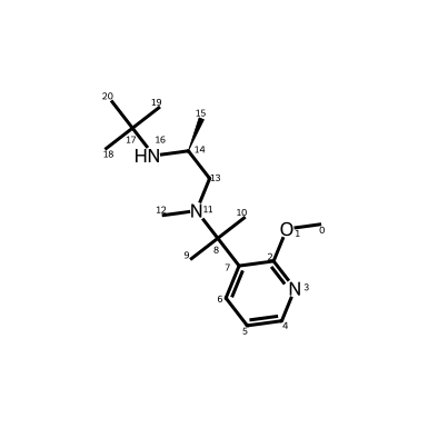 COc1ncccc1C(C)(C)N(C)C[C@H](C)NC(C)(C)C